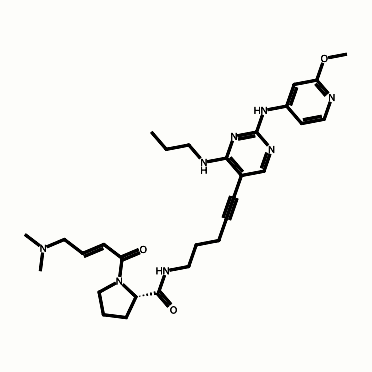 CCCNc1nc(Nc2ccnc(OC)c2)ncc1C#CCCCNC(=O)[C@@H]1CCCN1C(=O)/C=C/CN(C)C